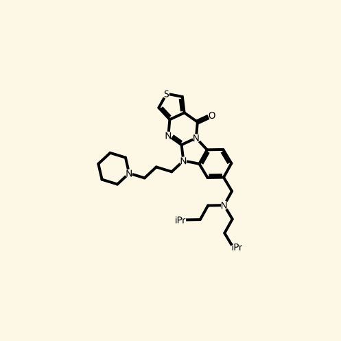 CC(C)CCN(CCC(C)C)Cc1ccc2c(c1)n(CCCN1CCCCC1)c1nc3cscc3c(=O)n21